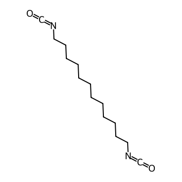 O=C=NCCCCCCCCCCCCN=C=O